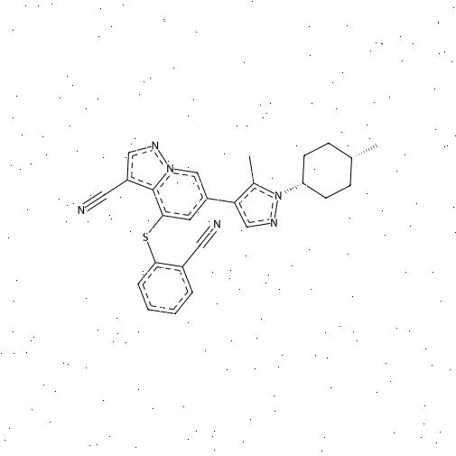 Cc1c(-c2cc(Sc3ccccc3C#N)c3c(C#N)cnn3c2)cnn1[C@H]1CC[C@@H](C)CC1